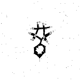 O=S1(=O)C(c2ccccc2)S(=O)(=O)C(F)(F)C1(F)F